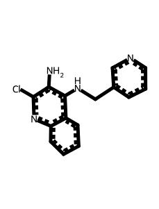 Nc1c(Cl)nc2ccccc2c1NCc1cccnc1